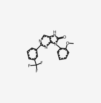 COc1ccccc1-n1c(=O)[nH]c2cnc(-c3cccc(C(F)(F)F)c3)nc21